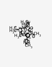 CC(=O)c1nn(CC(=O)N2C3C[C@]3(C)C[C@H]2C(=O)NC(CCC(C)C)CCC(C)C)c2c(C)cc(-c3cnc(C)nc3)cc12